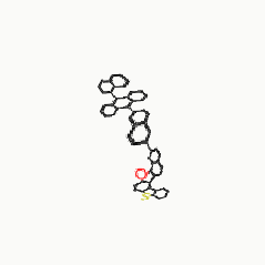 c1ccc2c(-c3c4ccccc4c(-c4ccc5cc(-c6ccc7ccc8c(oc9ccc%10sc%11ccccc%11c%10c98)c7c6)ccc5c4)c4ccccc34)cccc2c1